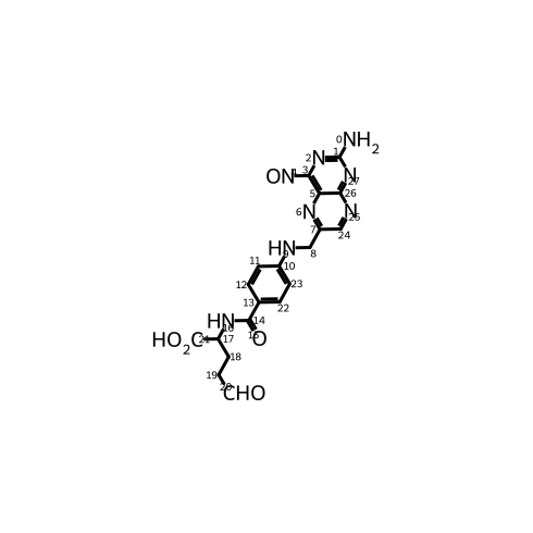 Nc1nc(N=O)c2nc(CNc3ccc(C(=O)NC(CCC=O)C(=O)O)cc3)cnc2n1